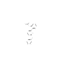 NC(=O)Oc1ccccc1-c1cccc(Oc2ccccc2)n1